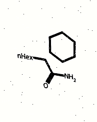 C1CCCCC1.CCCCCCCC(N)=O